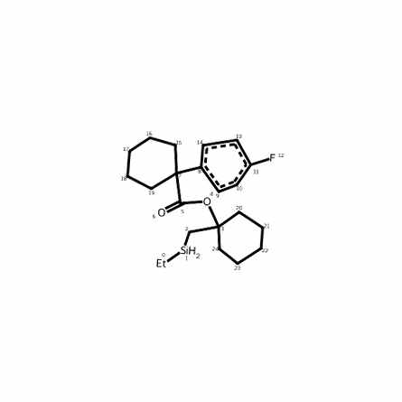 CC[SiH2]CC1(OC(=O)C2(c3ccc(F)cc3)CCCCC2)CCCCC1